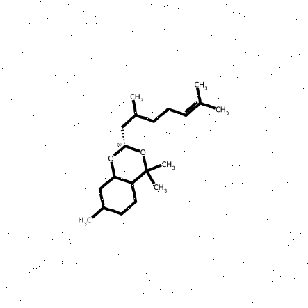 CC(C)=CCCC(C)C[C@H]1OC2CC(C)CCC2C(C)(C)O1